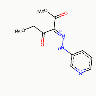 COCC(=O)/C(=N\Nc1cccnc1)C(=O)OC